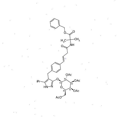 CC(=O)OC[C@H]1O[C@@H](Oc2n[nH]c(C(C)C)c2Cc2ccc(/C=C/CC(=O)NC(C)(C)C(=O)OCc3ccccc3)cc2)[C@H](OC(C)=O)[C@@H](OC(C)=O)[C@H]1OC(C)=O